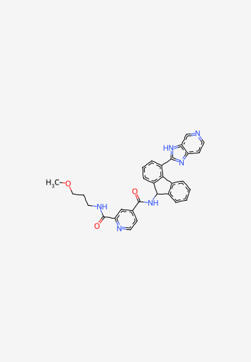 COCCCNC(=O)c1cc(C(=O)NC2c3ccccc3-c3c(-c4nc5ccncc5[nH]4)cccc32)ccn1